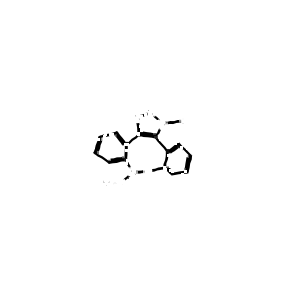 CSN1Cc2ccccc2C2=C(NNN2C(C)C)c2ccccc21